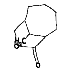 CC1C2CCCCC1C(=O)OC2